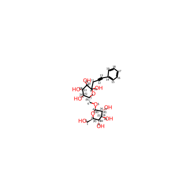 OC[C@H]1O[C@@H](OC[C@H]2OC(O)(CC#Cc3ccccc3)[C@H](O)[C@@H](O)[C@@H]2O)[C@H](O)[C@@H](O)[C@@H]1O